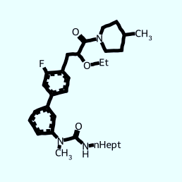 CCCCCCCNC(=O)N(C)c1cccc(-c2ccc(CC(OCC)C(=O)N3CCC(C)CC3)c(F)c2)c1